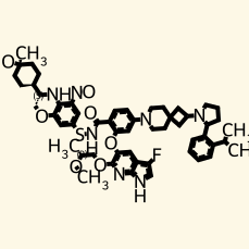 CO[C@H](C)COc1nc2[nH]cc(F)c2cc1Oc1cc(N2CCC3(CC2)CC(N2CCCC2c2ccccc2C(C)C)C3)ccc1C(=O)NSc1cc(N=O)c2c(c1)OC[C@H]([C@H]1CC[C@](C)(O)CC1)N2